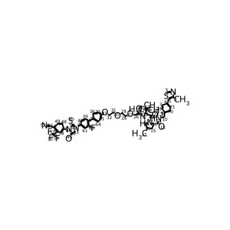 Cc1ncsc1-c1ccc(CNC(=O)[C@@H]2C[C@@H](C)CN2C(=O)[C@@H](NC(=O)COCCOCCOc2ccc(-c3ccc(N4CC(=O)N(c5ccc(C#N)c(C(F)(F)F)c5)C4=S)cc3F)cc2)C(C)(C)C)cc1